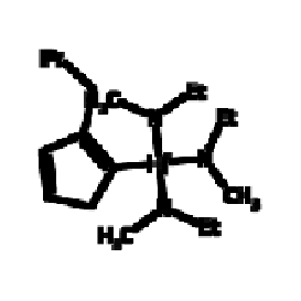 CC[N](C)[Hf]([C]1=C(CC(C)C)C=CC1)([N](C)CC)[N](C)CC